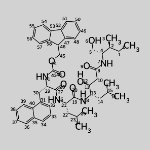 CC[C@H](C)[C@@H](CO)NC(=O)C[C@H](O)[C@H](CC(C)C)NC(=O)[C@H](CC(C)C)NC(=O)[C@H](Cc1cccc2ccccc12)NC(=O)OCC1c2ccccc2-c2ccccc21